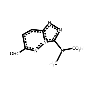 CN(C(=O)O)c1nnc2ccc(C=O)nn12